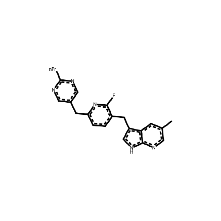 CCCc1ncc([CH]c2ccc(Cc3c[nH]c4ncc(C)cc34)c(F)n2)cn1